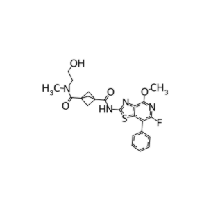 COc1nc(F)c(-c2ccccc2)c2sc(NC(=O)C34CC(C(=O)N(C)CCO)(C3)C4)nc12